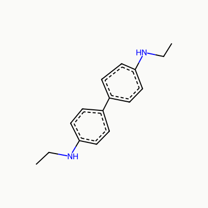 CCNc1ccc(-c2ccc(NCC)cc2)cc1